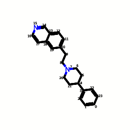 c1ccc(C2CCN(CCc3ccc4cnccc4c3)CC2)cc1